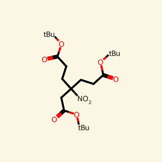 CC(C)(C)OC(=O)CCC(CCC(=O)OC(C)(C)C)(CC(=O)OC(C)(C)C)[N+](=O)[O-]